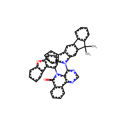 CC1(C)c2ccccc2-c2cc3c4ccccc4n(-c4ncnc5c6ccccc6c(=O)n(-c6cccc7oc8ccccc8c67)c45)c3cc21